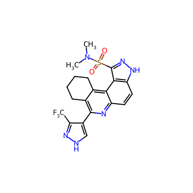 CN(C)S(=O)(=O)c1n[nH]c2ccc3nc(-c4c[nH]nc4C(F)(F)F)c4c(c3c12)CCCC4